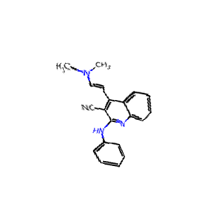 CN(C)/C=C/c1c(C#N)c(Nc2ccccc2)nc2ccccc12